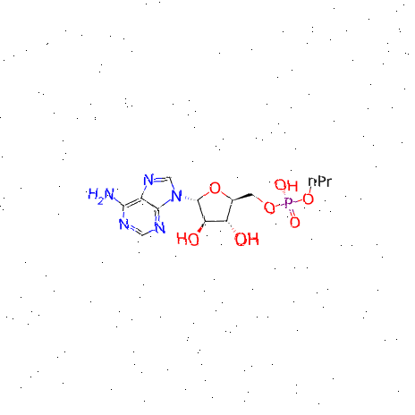 CCCO[P@](=O)(O)OC[C@@H]1O[C@@H](n2cnc3c(N)ncnc32)[C@H](O)[C@H]1O